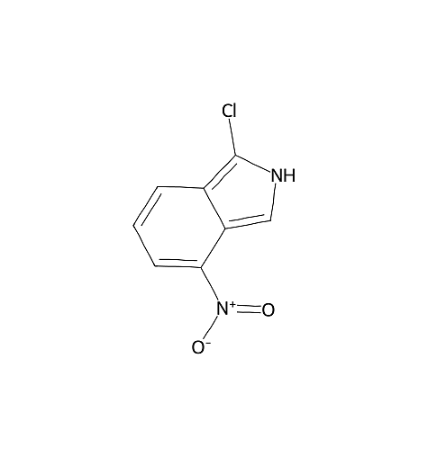 O=[N+]([O-])c1cccc2c(Cl)[nH]cc12